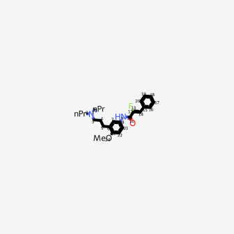 CCCN(CCC)CCCc1cc(NC(=O)C(F)=Cc2ccccc2)ccc1OC